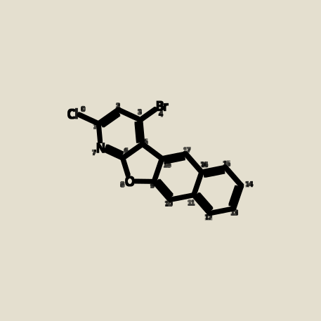 Clc1cc(Br)c2c(n1)oc1cc3ccccc3cc12